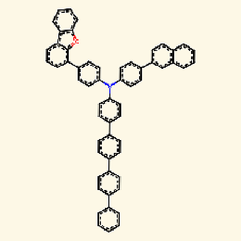 c1ccc(-c2ccc(-c3ccc(-c4ccc(N(c5ccc(-c6ccc7ccccc7c6)cc5)c5ccc(-c6cccc7c6oc6ccccc67)cc5)cc4)cc3)cc2)cc1